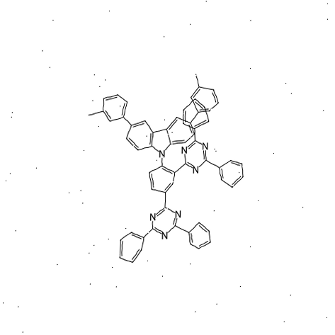 Cc1cccc(-c2ccc3c(c2)c2cc(-c4cccc(C)c4)ccc2n3-c2ccc(-c3nc(-c4ccccc4)nc(-c4ccccc4)n3)cc2-c2nc(-c3ccccc3)nc(-c3ccccc3)n2)c1